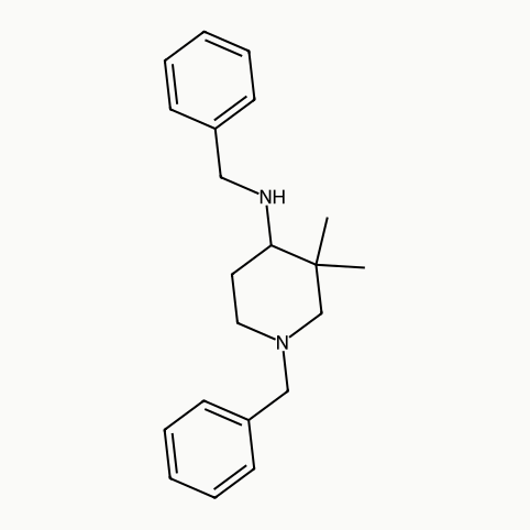 CC1(C)CN(Cc2ccccc2)CCC1NCc1ccccc1